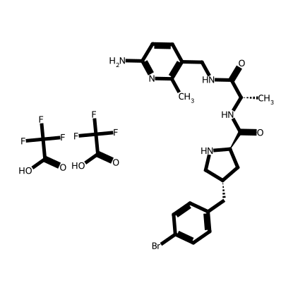 Cc1nc(N)ccc1CNC(=O)[C@H](C)NC(=O)[C@H]1C[C@H](Cc2ccc(Br)cc2)CN1.O=C(O)C(F)(F)F.O=C(O)C(F)(F)F